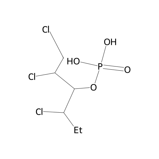 CCC(Cl)C(OP(=O)(O)O)C(Cl)CCl